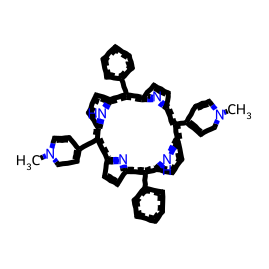 CN1C=CC(c2c3nc(c(-c4ccccc4)c4ccc([nH]4)c(C4=CCN(C)C=C4)c4nc(c(-c5ccccc5)c5ccc2[nH]5)C=C4)C=C3)=CC1